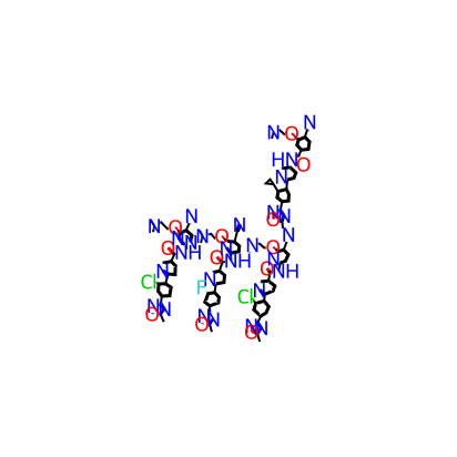 Cc1nc(-c2ccc(-c3ccc(C(=O)Nc4ccc(C#N)c(OCCN(C)C)n4)cn3)c(Cl)c2)no1.Cc1nc(-c2ccc(-c3ccc(C(=O)Nc4ccc(C#N)c(OCCN(C)C)n4)cn3)c(F)c2)no1.Cc1nc(-c2ccc(-c3ccc(C(=O)Nc4ncc(C#N)c(OCCN(C)C)n4)cn3)c(Cl)c2)no1.Cc1nc(-c2ccc(-c3ccc(NC(=O)c4ccc(C#N)c(OCCN(C)C)c4)cn3)c(C3CC3)c2)no1